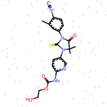 [C-]#[N+]c1ccc(N2C(=O)C(C)(C)N(c3ccc(NC(=O)OCCO)nc3)C2=S)cc1C